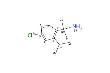 CC(C)c1cc(Cl)ccc1C(C)(C)N